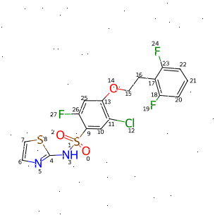 O=S(=O)(Nc1nccs1)c1cc(Cl)c(OCCc2c(F)cccc2F)cc1F